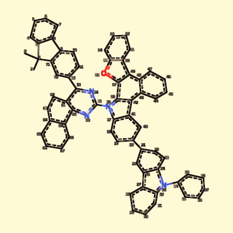 CC1(C)c2ccccc2-c2ccc(-c3nc(-n4c5ccc(-c6ccc7c(c6)c6ccccc6n7-c6ccccc6)cc5c5c6ccccc6c6c7ccccc7oc6c54)nc4c3ccc3ccccc34)cc21